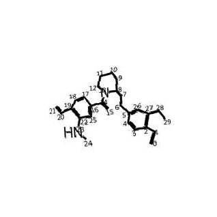 C=Cc1ccc(CCC2CCCCN2C(=C)c2ccc(C=C)c(NC)c2)cc1CC